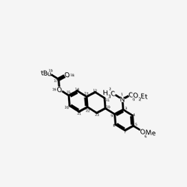 CCOC(=O)N(C)c1cc(OC)ccc1C1CCc2cc(OC(=O)C(C)(C)C)ccc2C1